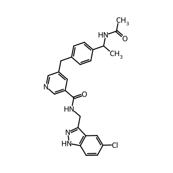 CC(=O)NC(C)c1ccc(Cc2cncc(C(=O)NCc3n[nH]c4ccc(Cl)cc34)c2)cc1